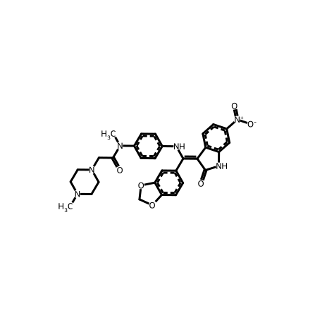 CN1CCN(CC(=O)N(C)c2ccc(NC(=C3C(=O)Nc4cc([N+](=O)[O-])ccc43)c3ccc4c(c3)OCO4)cc2)CC1